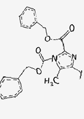 Cc1c(I)nc(C(=O)OCc2ccccc2)n1C(=O)OCc1ccccc1